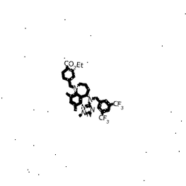 CCOC(=O)C1CCC(CN2CCC[C@H](N(Cc3cc(C(F)(F)F)cc(C(F)(F)F)c3)c3nnn(C)n3)c3cc(C)cc(C)c32)CC1